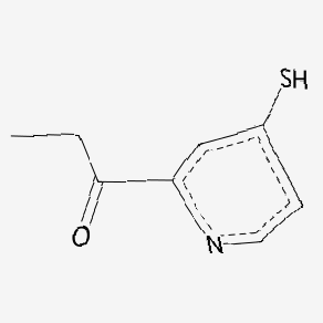 CCC(=O)c1cc(S)ccn1